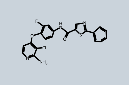 Nc1nccc(Oc2ccc(NC(=O)c3cnc(-c4ccccc4)s3)cc2F)c1Cl